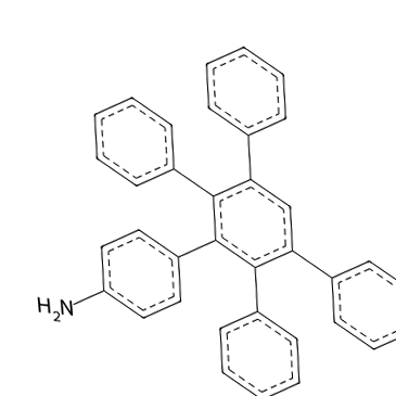 Nc1ccc(-c2c(-c3ccccc3)c(-c3ccccc3)cc(-c3ccccc3)c2-c2ccccc2)cc1